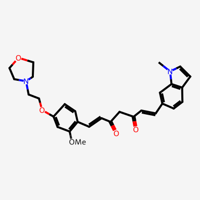 COc1cc(OCCN2CCOCC2)ccc1C=CC(=O)CC(=O)C=Cc1ccc2ccn(C)c2c1